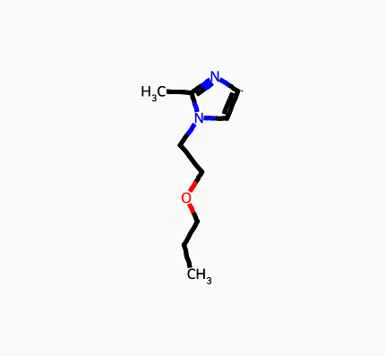 CCCOCCn1c[c]nc1C